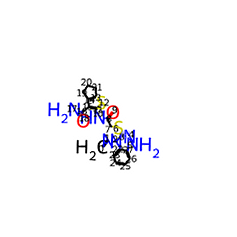 C=NN(/C(=N\N)SCC(=O)Nc1sc2c(c1C(N)=O)CCC2)c1ccccc1